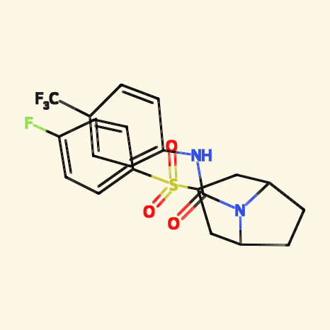 O=C(Nc1ccc(C(F)(F)F)cc1)N1C2CCC1CC(S(=O)(=O)c1ccc(F)cc1)C2